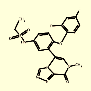 CCS(=O)(=O)Nc1ccc(Oc2ccc(F)cc2F)c(-c2cn(C)c(=O)c3nncn23)c1